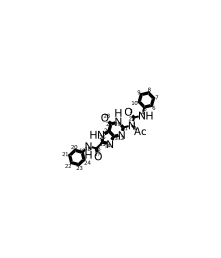 CC(=O)N(C(=O)Nc1ccccc1)c1nc2nc(C(=O)Nc3ccccc3)[nH]c2c(=O)[nH]1